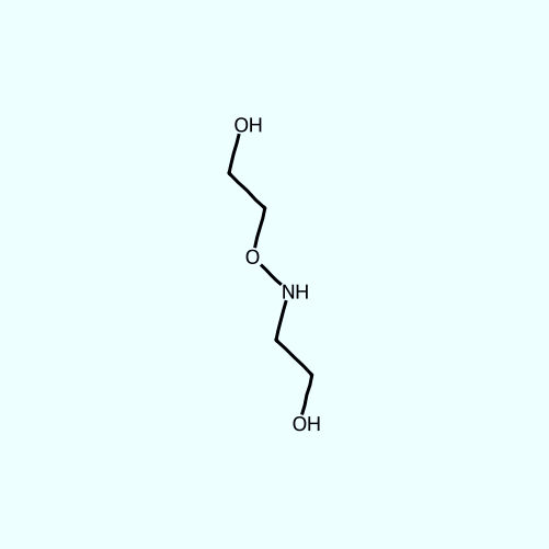 OCCNOCCO